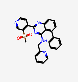 CS(=O)(=O)c1cnccc1-c1nc(NCc2ccccn2)c2c(-c3ccccc3)cccc2n1